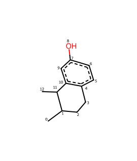 CC1CCc2ccc(O)cc2C1C